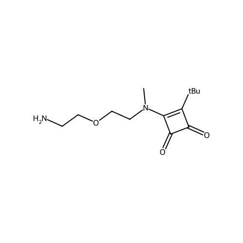 CN(CCOCCN)c1c(C(C)(C)C)c(=O)c1=O